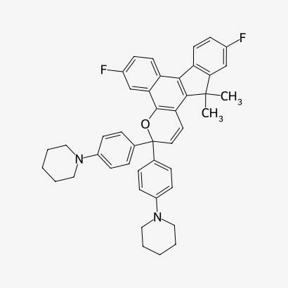 CC1(C)c2cc(F)ccc2-c2c1c1c(c3cc(F)ccc23)OC(c2ccc(N3CCCCC3)cc2)(c2ccc(N3CCCCC3)cc2)C=C1